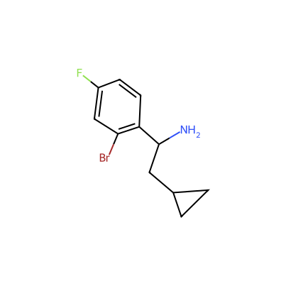 NC(CC1CC1)c1ccc(F)cc1Br